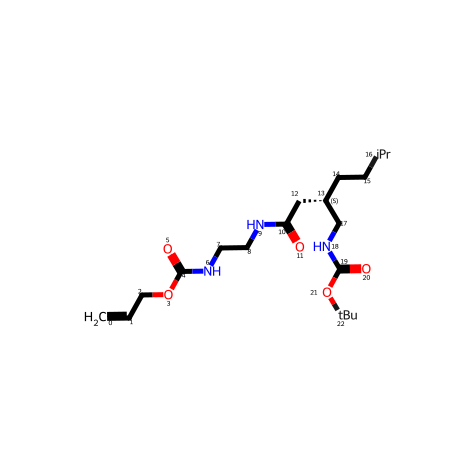 C=CCOC(=O)NCCNC(=O)C[C@H](CCC(C)C)CNC(=O)OC(C)(C)C